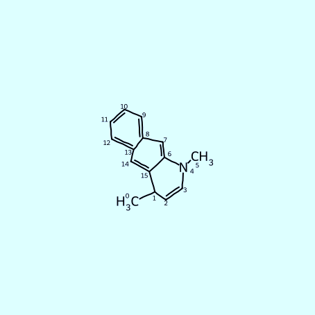 CC1C=CN(C)c2cc3ccccc3cc21